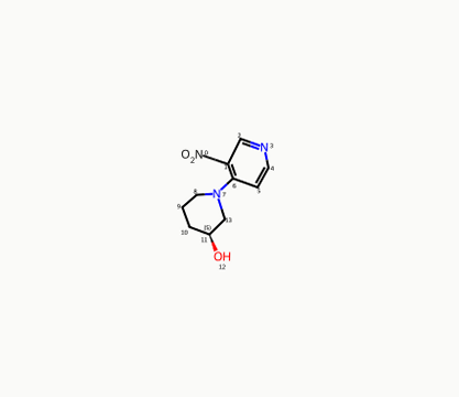 O=[N+]([O-])c1cnccc1N1CCC[C@H](O)C1